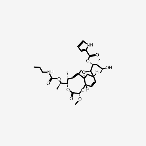 CCCNC(=O)O[C@H](C)[C@H]1OC(=O)[C@@H](OC)C[C@H]2C=C[C@@H]3C[C@]2(O[C@H]3[C@H](OC(=O)c2ccc[nH]2)[C@H](C)[C@H](C)O)/C(C)=C/[C@H]1C